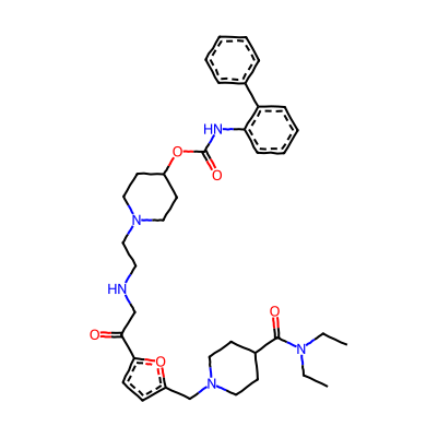 CCN(CC)C(=O)C1CCN(Cc2ccc(C(=O)CNCCN3CCC(OC(=O)Nc4ccccc4-c4ccccc4)CC3)o2)CC1